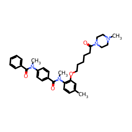 Cc1ccc(N(C)C(=O)c2ccc(N(C)C(=O)c3ccccc3)cc2)c(OCCCCCC(=O)N2CCN(C)CC2)c1